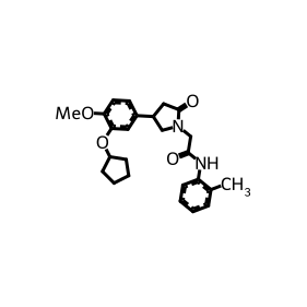 COc1ccc(C2CC(=O)N(CC(=O)Nc3ccccc3C)C2)cc1OC1CCCC1